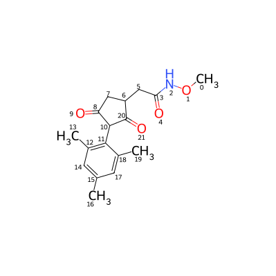 CONC(=O)CC1CC(=O)C(c2c(C)cc(C)cc2C)C1=O